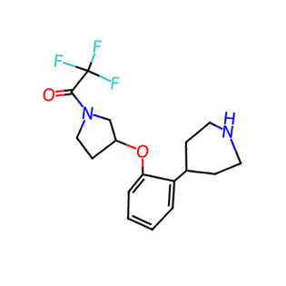 O=C(N1CCC(Oc2ccccc2C2CCNCC2)C1)C(F)(F)F